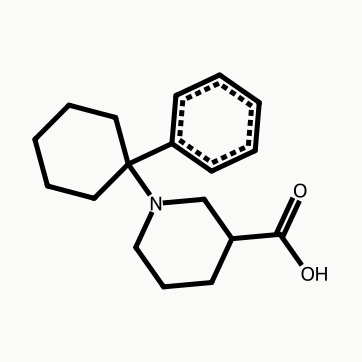 O=C(O)C1CCCN(C2(c3ccccc3)CCCCC2)C1